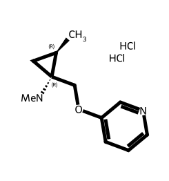 CN[C@]1(COc2cccnc2)C[C@H]1C.Cl.Cl